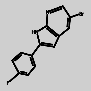 Fc1ccc(-c2cc3cc(Br)cnc3[nH]2)cc1